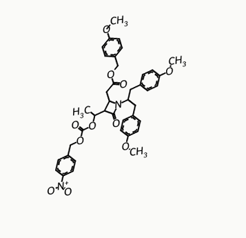 COc1ccc(COC(=O)CC2C(C(C)OC(=O)OCc3ccc([N+](=O)[O-])cc3)C(=O)N2C(Cc2ccc(OC)cc2)Cc2ccc(OC)cc2)cc1